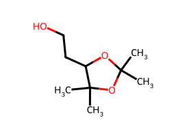 CC1(C)OC(CCO)C(C)(C)O1